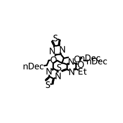 CCCCCCCCCCCCOc1nc2cscc2nc1C(C)C1(CCc2cnc3cscc3n2)SC=C2N=C(CC)C(OCCCCCCCCCC)(OCCCCCCCCCCC)N=C21